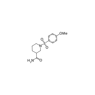 COc1ccc(S(=O)(=O)N2CCCC(C(N)=O)C2)cc1